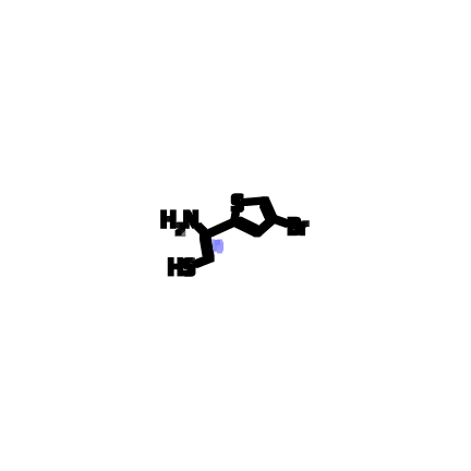 N/C(=C\S)c1cc(Br)cs1